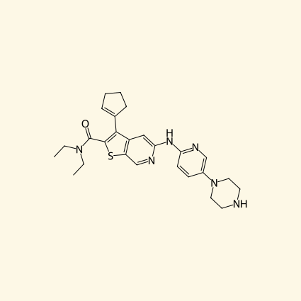 CCN(CC)C(=O)c1sc2cnc(Nc3ccc(N4CCNCC4)cn3)cc2c1C1=CCCC1